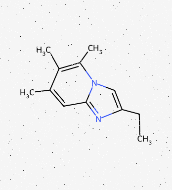 CCc1cn2c(C)c(C)c(C)cc2n1